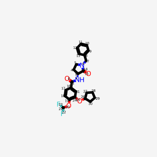 O=C(N[C@H]1CCN(Cc2ccccc2)C1=O)c1ccc(OC(F)F)c(OC2CCCC2)c1